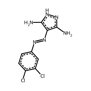 Nc1n[nH]c(N)c1N=Nc1ccc(Cl)c(Cl)c1